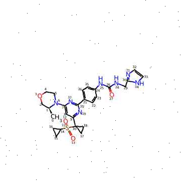 C[C@H]1COCCN1c1cc(C2(S(=O)(=O)C3CC3)CC2)nc(-c2ccc(NC(=O)NCc3ncc[nH]3)cc2)n1